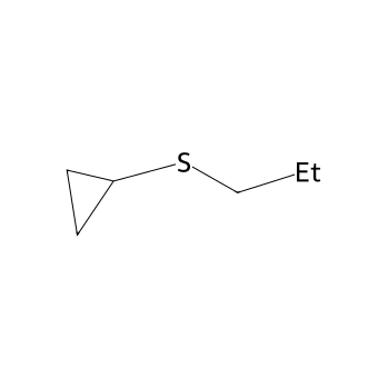 [CH2]CCSC1CC1